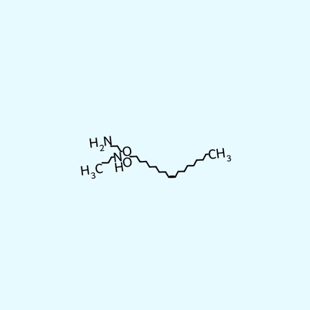 CCCCCCCC/C=C\CCCCCCCC(=O)OC(CCN)NCCCC